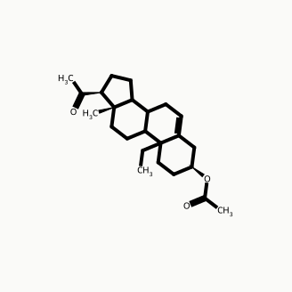 CCC12CC[C@H](OC(C)=O)CC1=CCC1C2CC[C@@]2(C)C1CC[C@@H]2C(C)=O